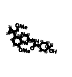 COCC1(c2ccc(OC)c3nc(NC(=O)N4CCC(C)(O)CC4)cnc23)CC1